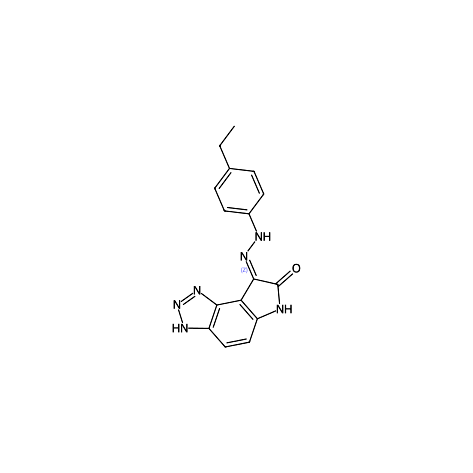 CCc1ccc(N/N=C2\C(=O)Nc3ccc4[nH]nnc4c32)cc1